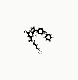 CCOCCCOC(C)c1cc(=O)n2ncc(-c3ccc(Sc4ccccc4)cc3)c2[nH]1